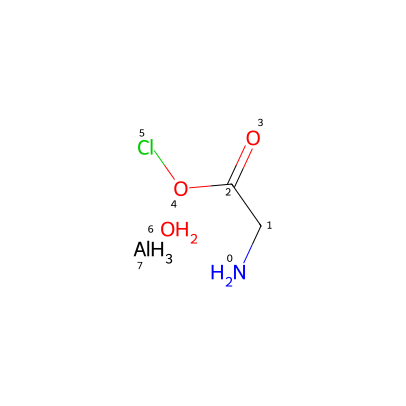 NCC(=O)OCl.O.[AlH3]